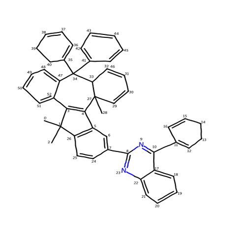 CC1(C)C2=C(c3cc(-c4nc(C5=CCCC=C5)c5ccccc5n4)ccc31)C1(C)C=CC=CC1C(C1=CC=CCC1)(c1ccccc1)c1ccccc12